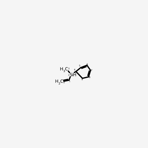 C=C[SiH](C)C1C=CC=CC1